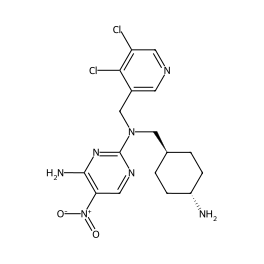 Nc1nc(N(Cc2cncc(Cl)c2Cl)C[C@H]2CC[C@H](N)CC2)ncc1[N+](=O)[O-]